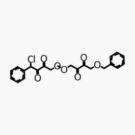 O=C(COCc1ccccc1)C(=O)COOCC(=O)C(=O)C(Cl)c1ccccc1